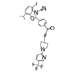 CC(C)c1ccc(I)c2c1OC(c1ccc(C(=O)C#CC3CCN(c4ccc(C(F)(F)F)cn4)CC3)cc1)N2C#N